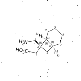 NC[C@]1(CC(=O)O)C[C@@H]2CCCC[C@@H]21